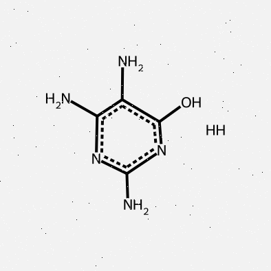 Nc1nc(N)c(N)c(O)n1.[HH]